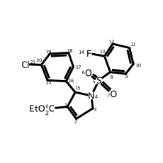 CCOC(=O)C1=CCN(S(=O)(=O)c2ccccc2F)C1c1cccc(Cl)c1